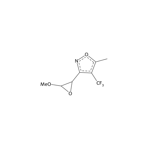 COC1OC1c1noc(C)c1C(F)(F)F